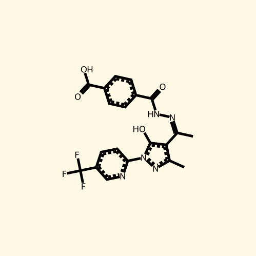 CC(=NNC(=O)c1ccc(C(=O)O)cc1)c1c(C)nn(-c2ccc(C(F)(F)F)cn2)c1O